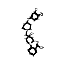 O=C(O)c1ccccc1N1CCC(O)(CN2CCC(Oc3ccc(Cl)c(Cl)c3)CC2)CC1